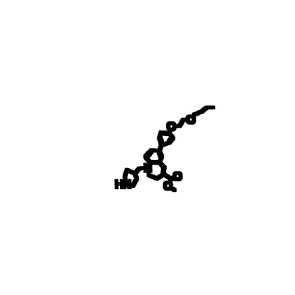 CCCCOCCOc1ccc(-c2ccc3c(c2)C=C(C(=O)OC)CCN3CC2CCNCC2)cc1